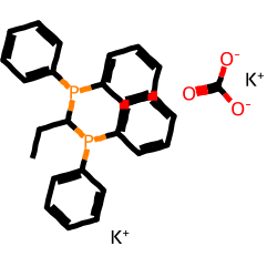 CCC(P(c1ccccc1)c1ccccc1)P(c1ccccc1)c1ccccc1.O=C([O-])[O-].[K+].[K+]